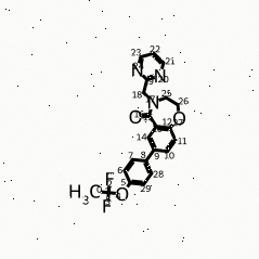 CC(F)(F)Oc1ccc(-c2ccc3c(c2)C(=O)N(Cc2ncccn2)CCO3)cc1